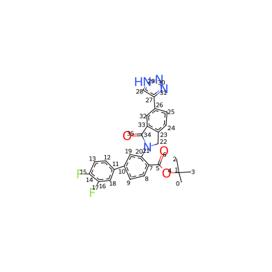 CC(C)(C)OC(=O)c1ccc(-c2ccc(F)c(F)c2)cc1N1Cc2ccc(-c3c[nH]nn3)cc2C1=O